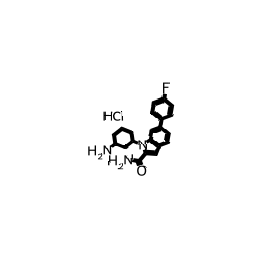 Cl.NC(=O)c1cc2ccc(-c3ccc(F)cc3)cc2n1C1CCCC(N)C1